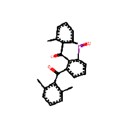 Cc1cccc(C)c1C(=O)c1cccc(P=O)c1C(=O)c1c(C)cccc1C